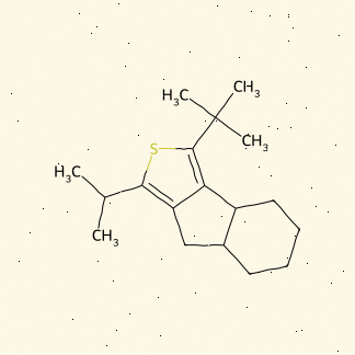 CC(C)c1sc(C(C)(C)C)c2c1CC1CCCCC21